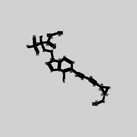 CC(CCn1ncc2c(F)c(C#CC#C[C@H]3C[C@@H]3CO)ccc21)(C(=O)NO)S(C)(=O)=O